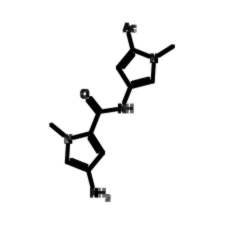 CC(=O)c1cc(NC(=O)c2cc(N)cn2C)cn1C